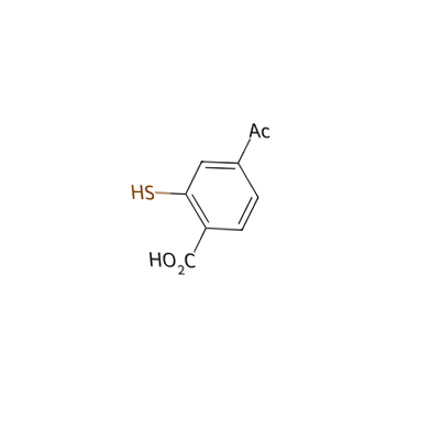 CC(=O)c1ccc(C(=O)O)c(S)c1